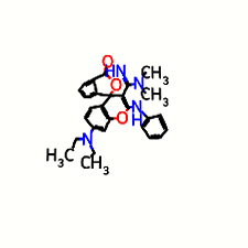 CCN(CC)c1ccc2c(c1)OC(Nc1ccccc1)=C(C(=N)N(C)C)C21OC(=O)c2ccccc21